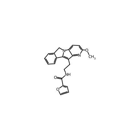 COc1ccc2c(n1)c(CCNC(=O)c1ccco1)c1n2Cc2ccccc2-1